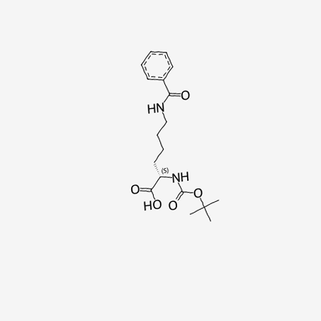 CC(C)(C)OC(=O)N[C@@H](CCCCNC(=O)c1ccccc1)C(=O)O